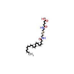 CC/C=C\C/C=C\C/C=C\C/C=C\C/C=C\C/C=C\CCC(=O)NCCSSCCNC(=O)CCCC(=O)O